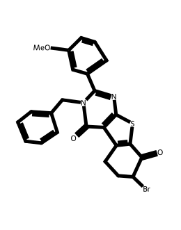 COc1cccc(-c2nc3sc4c(c3c(=O)n2Cc2ccccc2)CCC(Br)C4=O)c1